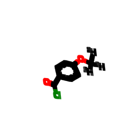 [2H]C([2H])([2H])Oc1ccc(C(=O)Cl)cc1